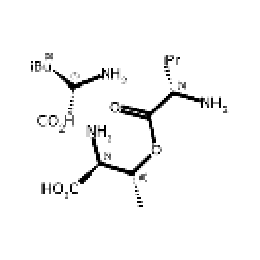 CC(C)[C@H](N)C(=O)O[C@H](C)[C@H](N)C(=O)O.CC[C@H](C)[C@H](N)C(=O)O